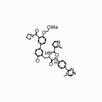 COCOc1ccc(-c2ccc(Cl)c(CC(NC(=O)c3ccnn3C)C(=O)Nc3ccc(-c4nncn4C)cc3)c2)cc1C(=O)N1CCC1